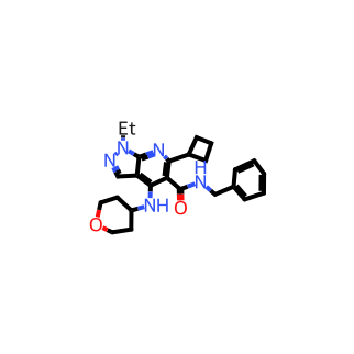 CCn1ncc2c(NC3CCOCC3)c(C(=O)NCc3ccccc3)c(C3CCC3)nc21